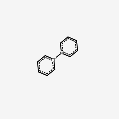 c1cc[n+](-[n+]2ccccc2)cc1